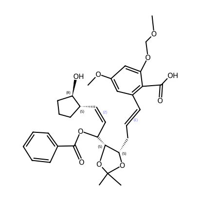 COCOc1cc(OC)cc(/C=C/C[C@@H]2OC(C)(C)O[C@@H]2C(/C=C\[C@@H]2CCC[C@H]2O)OC(=O)c2ccccc2)c1C(=O)O